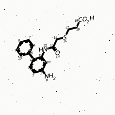 Nc1ccc(-c2ccccc2)c(NC(=O)CSCCC(=O)O)c1